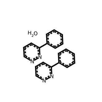 O.c1ccc(-c2cccnn2)cc1.c1ccc(-c2cccnn2)cc1